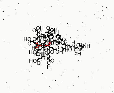 CNC(=O)[C@H](C)NC(=O)[C@H](CSC)NC(=O)CNC(=O)[C@H](CC(C)C)NC(=O)C1CCCN1C(=O)COCCNC(=O)[C@@H](CCC(=O)O)NC(=O)[C@@H](CCC(=O)O)NC(=O)[C@@H](CCC(=O)O)NC(=O)[C@@H](CCC(=O)O)NC(=O)[C@@H](CCC(=O)O)NC(=O)[C@@H](CCC(=O)O)NC(=O)[C@@H](CCC(=O)O)NC(=O)[C@@H](CCC(=O)O)NC(=O)[C@H](N)CCC(=O)O